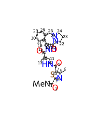 CNC(=O)c1nc(C)c(C(=O)NC[C@@H](C)C(=O)N[C@]2(C)C(=O)N3CCCN3Cc3ccccc32)s1